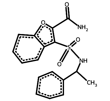 CC(NS(=O)(=O)c1c(C(N)=O)oc2ccccc12)c1ccccc1